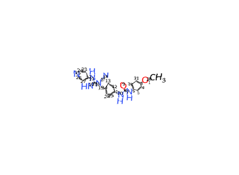 CCOc1ccc(NC(=O)Nc2ccc(CN(C#N)C(=N)Nc3ccncc3)cc2)cc1